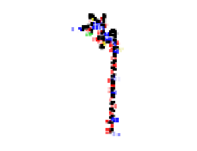 CCCC[C@H](NC(=O)[C@H](CSC(C)(C)C)NC(=O)[C@H](CCCCN)NC(=O)CCl)C(=O)NCC(=O)N[C@@H](CC(=O)O)C(=O)N[C@@H](CSC(C)(C)C)C(=O)N[C@@H](Cc1ccccc1)C(=O)N[C@@H](CS)C(=O)NCCOCCOCCOCCNC(=O)COCC(=O)NCCOCCOCCOCCNC(=O)COCC(N)=O